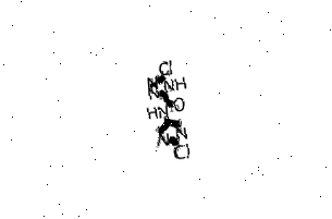 O=C(Nc1cnc(Cl)nc1)c1nnc(Cl)[nH]1